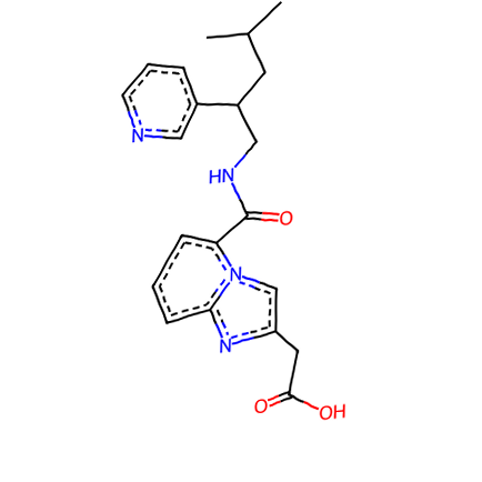 CC(C)CC(CNC(=O)c1cccc2nc(CC(=O)O)cn12)c1cccnc1